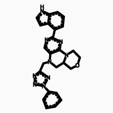 c1ccc(-n2nnc(CN3CC4COCCN4c4nc(-c5cccc6[nH]ccc56)ncc43)n2)cc1